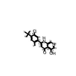 Cc1cc(C(C)(C)C)c(Cl)cc1-c1cc(=O)c2c(O)cncc2[nH]1